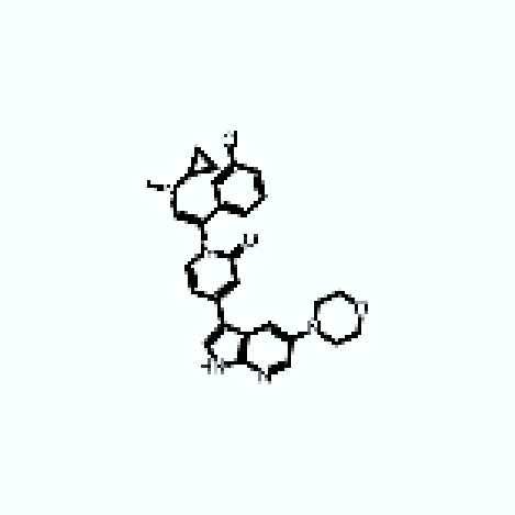 CN(/C=C(\c1cccc(Cl)c1)n1ccc(-c2c[nH]c3ncc(N4CCOCC4)cc23)cc1=O)C1CC1